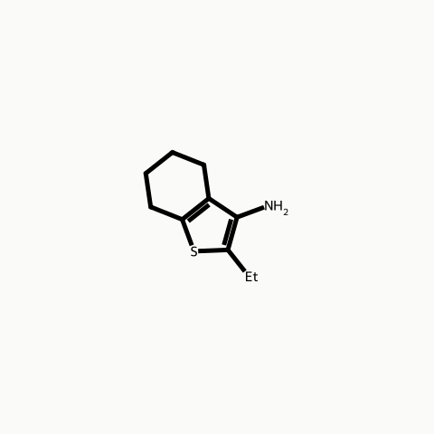 CCc1sc2c(c1N)CCCC2